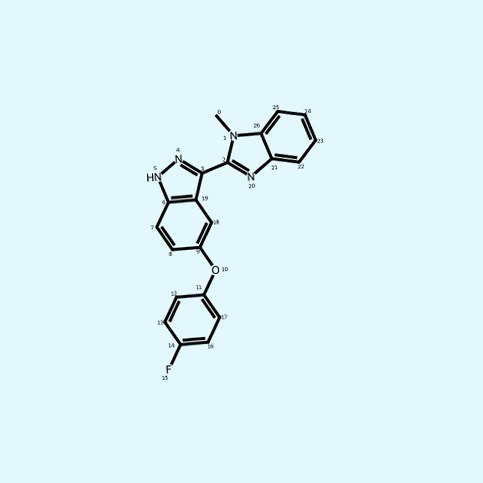 Cn1c(-c2n[nH]c3ccc(Oc4ccc(F)cc4)cc23)nc2ccccc21